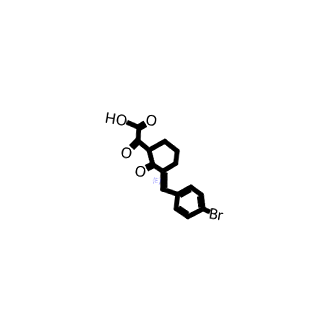 O=C(O)C(=O)C1CCC/C(=C\c2ccc(Br)cc2)C1=O